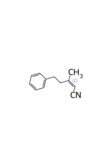 C/C(=C/C#N)CCc1ccccc1